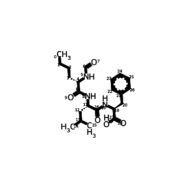 CCCC[C@H](NC=O)C(=O)N[C@@H](CC(C)C)C(=O)N[C@@H](Cc1ccccc1)C(=O)O